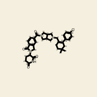 CC1(C)CCC(CN2CC3CN(C(=O)c4ccc5c(c4)CN(C4CCC(=O)NC4=O)C5=O)CC3C2)=C(c2ccc(Cl)cc2)C1